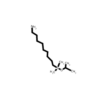 CC(C)O[Si](C)(C)CCCCCCCCCN